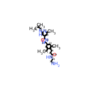 CCc1cc(-c2noc(-c3cc(C)nc(NCC(C)C)c3)n2)cc(C)c1CCC(=O)NCCN